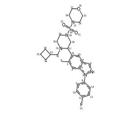 Cc1cc2c(cnn2-c2ccc(F)cc2)cc1C1CN(S(=O)(=O)N2CCOCC2)CCN1CC1CCC1